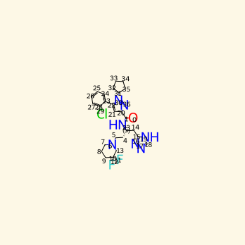 O=C(N[C@@H](CCN1CCCC(F)(F)C1)Cc1nnc[nH]1)c1cc(-c2ccccc2Cl)n(C2CCCC2)n1